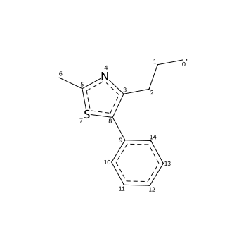 [CH2]CCc1nc(C)sc1-c1ccccc1